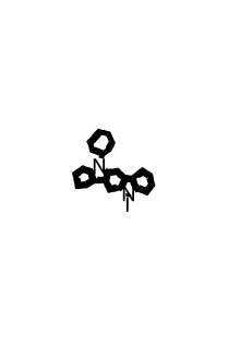 In1c2ccccc2c2cc3c(cc21)c1ccccc1n3C1=CC=CCC=C1